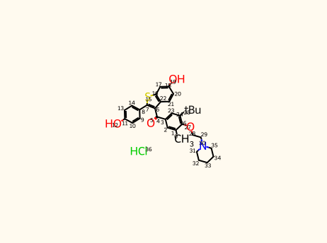 Cc1cc(C(=O)c2c(-c3ccc(O)cc3)sc3cc(O)ccc23)cc(C(C)(C)C)c1OCCN1CCCCC1.Cl